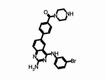 Nc1nc(Nc2cccc(Br)c2)c2cc(-c3ccc(C(=O)N4CCNCC4)cc3)ccc2n1